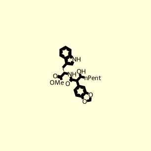 CCCCCC(O)C(C(=O)N[C@@H](Cc1c[nH]c2ccccc12)C(=O)OC)c1ccc2c(c1)OCO2